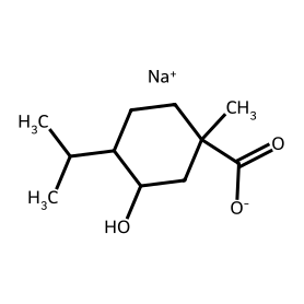 CC(C)C1CCC(C)(C(=O)[O-])CC1O.[Na+]